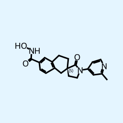 Cc1cc(N2CC[C@@]3(CCc4cc(C(=O)NO)ccc4C3)C2=O)ccn1